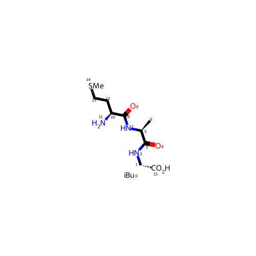 CC[C@H](C)[C@H](NC(=O)[C@H](C)NC(=O)[C@@H](N)CCSC)C(=O)O